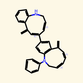 C=C1/C=C(c2ccc3c(c2)C(=C)/C=C\C=C/CN3c2ccccc2)\C=C/CNc2ccccc21